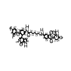 Cn1cc(-c2cc(NC(=O)CCCCCCNc3ccc4c(c3)C(=O)N(C3CCC(=O)NC3=O)C4=O)ccc2Oc2ccc(F)cc2F)c2cc[nH]c2c1=O